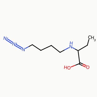 CCC(NCCCCN=[N+]=[N-])C(=O)O